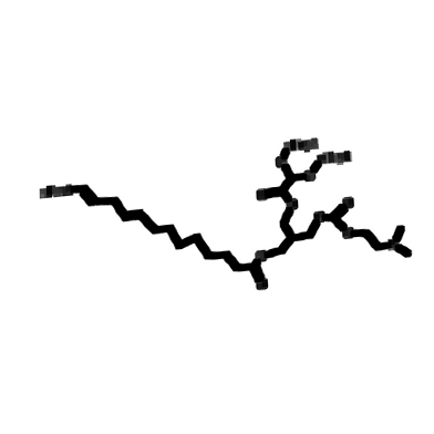 CCCCCC=CCC=CCCCCCCCC(=O)OCC(COC(=O)OCCN(C)C)COC(=O)C(OCCCCCCC)OCCCCCCC